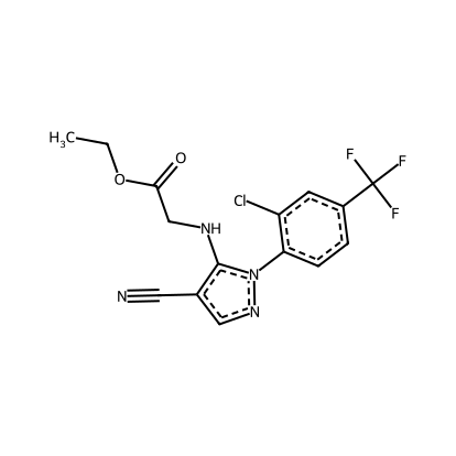 CCOC(=O)CNc1c(C#N)cnn1-c1ccc(C(F)(F)F)cc1Cl